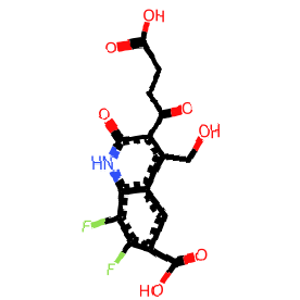 O=C(O)CCC(=O)c1c(CO)c2cc(C(=O)O)c(F)c(F)c2[nH]c1=O